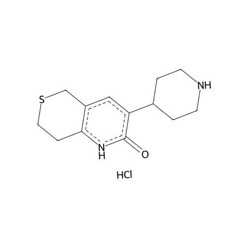 Cl.O=c1[nH]c2c(cc1C1CCNCC1)CSCC2